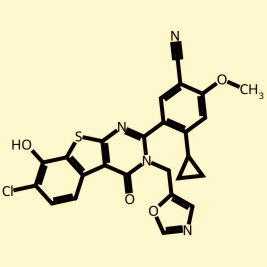 COc1cc(C2CC2)c(-c2nc3sc4c(O)c(Cl)ccc4c3c(=O)n2Cc2cnco2)cc1C#N